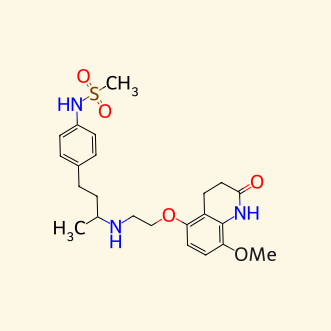 COc1ccc(OCCNC(C)CCc2ccc(NS(C)(=O)=O)cc2)c2c1NC(=O)CC2